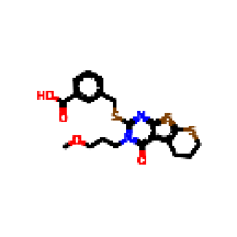 COCCCn1c(SCc2cccc(C(=O)O)c2)nc2sc3c(c2c1=O)CCCS3